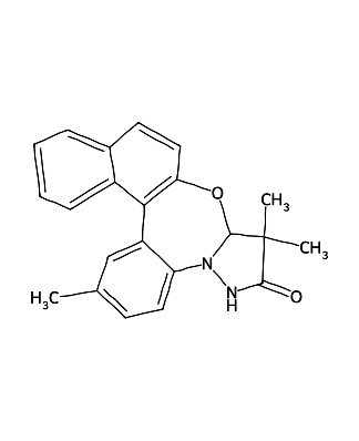 Cc1ccc2c(c1)-c1c(ccc3ccccc13)OC1N2NC(=O)C1(C)C